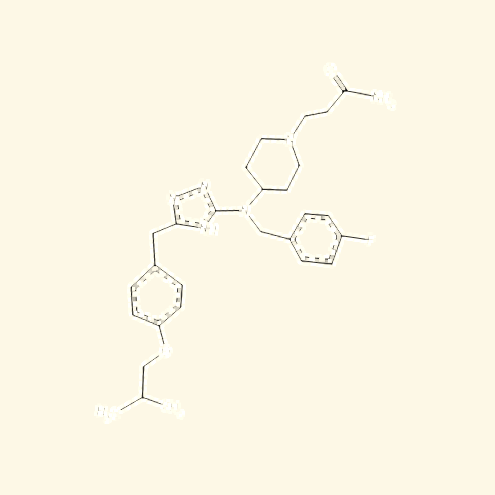 CC(C)COc1ccc(Cc2nnc(N(Cc3ccc(F)cc3)C3CCN(CCC(N)=O)CC3)[nH]2)cc1